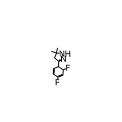 CC1(C)CC(C2C=CC(F)=CC2F)=NN1